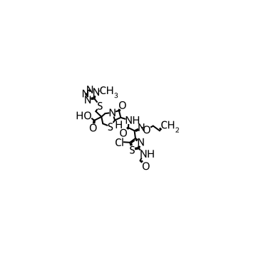 C=CCON=C(C(=O)NC1C(=O)N2CC(CSc3nnnn3C)(C(=O)O)CS[C@H]12)c1nc(NC=O)sc1Cl